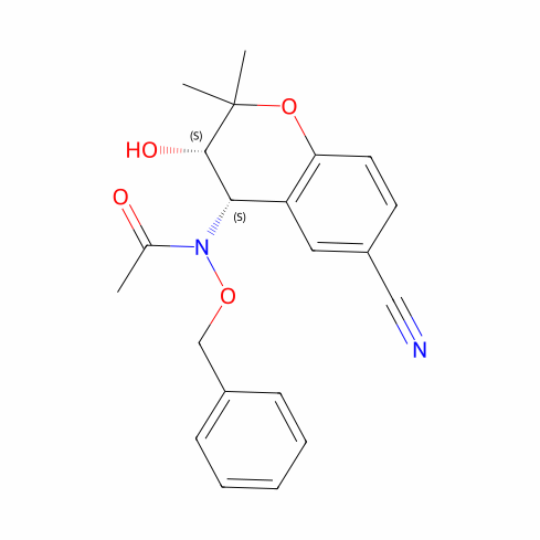 CC(=O)N(OCc1ccccc1)[C@H]1c2cc(C#N)ccc2OC(C)(C)[C@H]1O